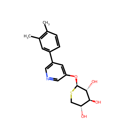 Cc1ccc(-c2cncc(O[C@@H]3SC[C@@H](O)[C@H](O)[C@H]3O)c2)cc1C